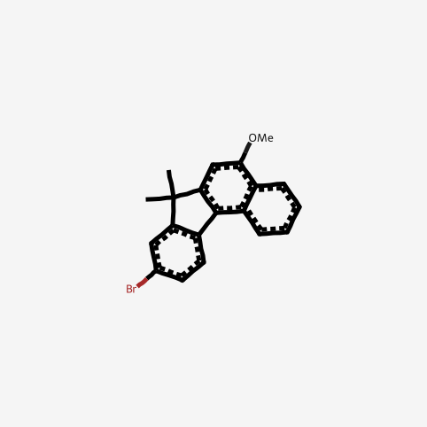 COc1cc2c(c3ccccc13)-c1ccc(Br)cc1C2(C)C